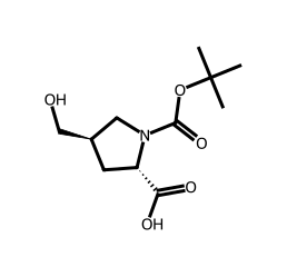 CC(C)(C)OC(=O)N1C[C@H](CO)C[C@H]1C(=O)O